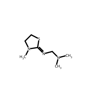 CN(C)C/N=C1\SCCN1C